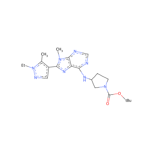 CCn1ncc(-c2nc3c(NC4CCN(C(=O)OC(C)(C)C)C4)ncnc3n2C)c1C